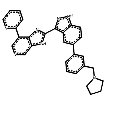 c1ccc(-c2cncc3[nH]c(-c4n[nH]c5ccc(-c6cccc(CN7CCCC7)c6)cc45)nc23)nc1